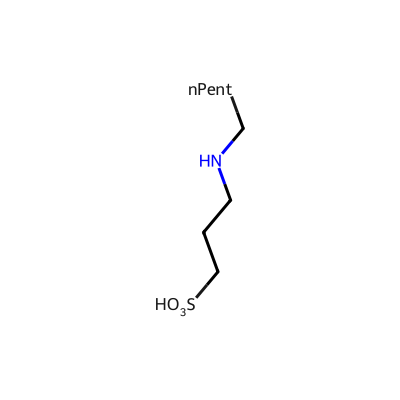 CCCCCCNCCCS(=O)(=O)O